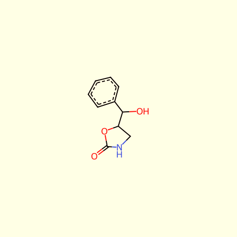 O=C1NCC(C(O)c2ccccc2)O1